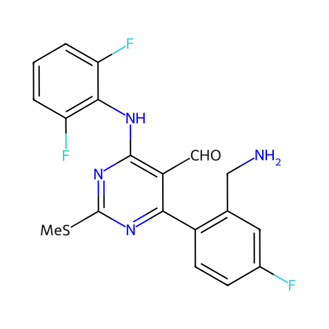 CSc1nc(Nc2c(F)cccc2F)c(C=O)c(-c2ccc(F)cc2CN)n1